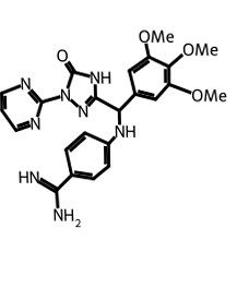 COc1cc(C(Nc2ccc(C(=N)N)cc2)c2nn(-c3ncccn3)c(=O)[nH]2)cc(OC)c1OC